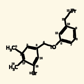 Cc1cc(COc2cccc(CC(C)C)c2)cc(Br)c1C